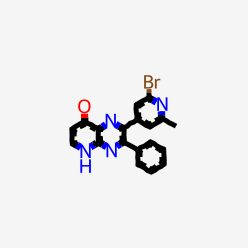 Cc1cc(-c2nc3c(=O)cc[nH]c3nc2-c2ccccc2)cc(Br)n1